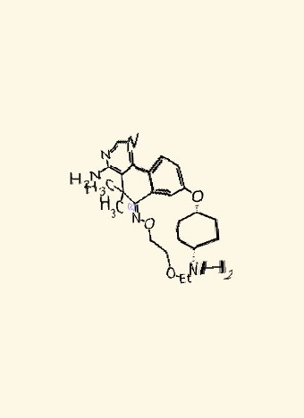 CCOCCO/N=C1\c2cc(O[C@H]3CC[C@@H](N)CC3)ccc2-c2ncnc(N)c2C1(C)C